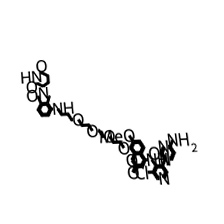 COc1ccc2c(Nc3c(Cl)cncc3-n3ccc(N)nc3=O)cc(=O)oc2c1OCCOCCOCCOCCCNc1cccc2c1CN(C1CCC(=O)NC1=O)C2=O